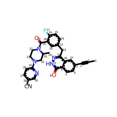 CC#Cc1ccc2c(=O)[nH]nc(Cc3ccc(F)c(C(=O)N4CCN(c5ccc(C#N)cn5)CC4C)c3)c2c1